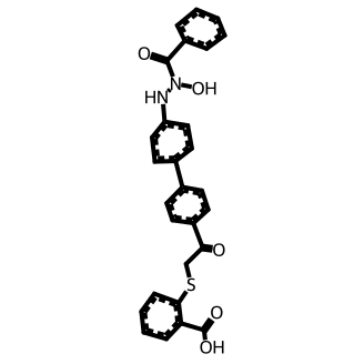 O=C(CSc1ccccc1C(=O)O)c1ccc(-c2ccc(NN(O)C(=O)c3ccccc3)cc2)cc1